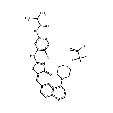 CC(C)C(=O)Nc1ccc(Cl)c(NC2=NC(=O)C(=Cc3ccc4nccc(N5CCOCC5)c4c3)S2)c1.O=C(O)C(F)(F)F